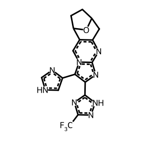 FC(F)(F)c1n[nH]c(-c2nc3nc4c(cn3c2-c2c[nH]cn2)C2CCC(C4)O2)n1